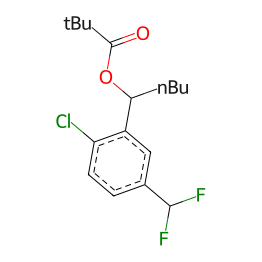 CCCCC(OC(=O)C(C)(C)C)c1cc(C(F)F)ccc1Cl